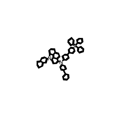 c1ccc(-c2ccc(N(c3ccc(-c4ccc([Si](c5ccccc5)(c5ccccc5)c5ccccc5)cc4)cc3)c3ccc4c5c3ccc3cccc(c35)n4-c3ccc4ccccc4c3)cc2)cc1